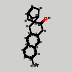 CCCc1ccc2cc3c(cc2c1)CC(=O)C1(CC2=CCC1C2)C3